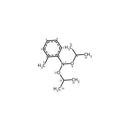 Cc1ccccc1N(OC(C)C)OC(C)C